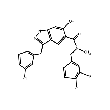 CN(Cc1ccc(Cl)c(F)c1)C(=O)c1cc2c(Cc3cccc(Cl)c3)n[nH]c2cc1O